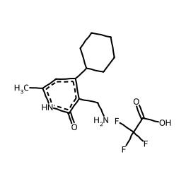 Cc1cc(C2CCCCC2)c(CN)c(=O)[nH]1.O=C(O)C(F)(F)F